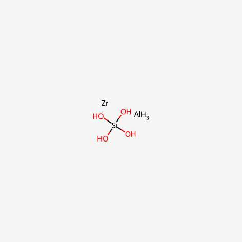 O[Si](O)(O)O.[AlH3].[Zr]